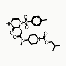 Cc1ccc(S(=O)(=O)N2C=CNC(=O)[C@H]2CC(=O)N(C)C2CCN(C(=O)OCC(C)C)CC2)cc1